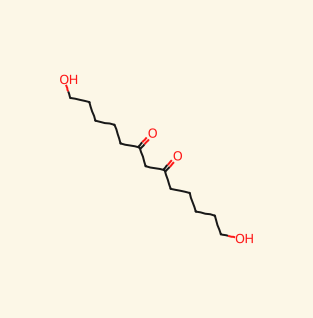 O=C(CCCCCO)CC(=O)CCCCCO